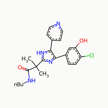 CCCCNC(=O)C(C)(C)c1nc(-c2ccc(Cl)c(O)c2)c(-c2ccncc2)[nH]1